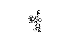 COCCOC(=O)C(=NOS(C)(=O)=O)c1ccc(OC)c(OC)c1